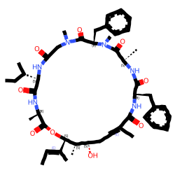 C/C=C(\C)[C@H]1OC(=O)[C@@H](C)NC(=O)[C@H](C(C)CC)NC(=O)CN(C)C(=O)[C@@H](Cc2ccccc2)N(C)C(=O)[C@H](C)NC(=O)[C@@H](Cc2ccccc2)NC(=O)/C(C)=C/C[C@H](O)[C@@H]1C